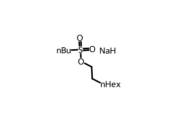 CCCCCCCCOS(=O)(=O)CCCC.[NaH]